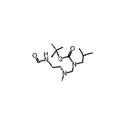 CC(C)CN(CN(C)CCNC=O)C(=O)OC(C)(C)C